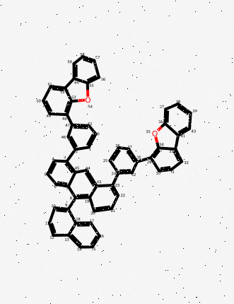 c1cc(-c2cccc3c(-c4cccc5ccccc45)c4cccc(-c5cccc(-c6cccc7c6oc6ccccc67)c5)c4cc23)cc(-c2cccc3c2oc2ccccc23)c1